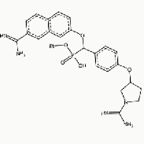 CCOP(=O)(O)C(Oc1ccc2ccc(C(=N)N)cc2c1)c1ccc(OC2CCN(C(=N)N)C2)cc1